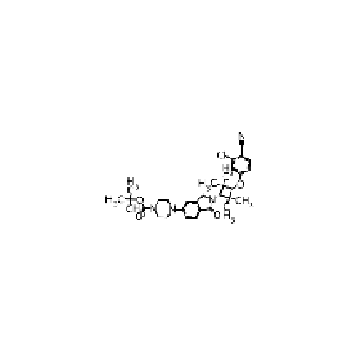 CC(C)(C)OC(=O)N1CCN(c2ccc3c(c2)CN([C@H]2C(C)(C)[C@H](Oc4ccc(C#N)c(Cl)c4)C2(C)C)C3=O)CC1